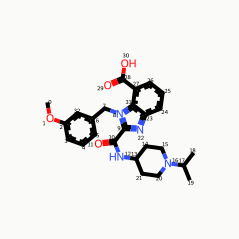 COc1cccc(Cn2c(C(=O)NC3CCN(C(C)C)CC3)nc3cccc(C(=O)O)c32)c1